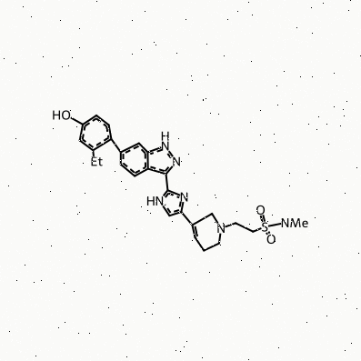 CCc1cc(O)ccc1-c1ccc2c(-c3nc(C4=CCCN(CCS(=O)(=O)NC)C4)c[nH]3)n[nH]c2c1